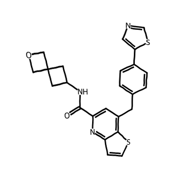 O=C(NC1CC2(COC2)C1)c1cc(Cc2ccc(-c3cncs3)cc2)c2sccc2n1